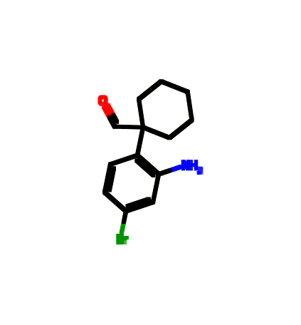 Nc1cc(Br)ccc1C1(C=O)CCCCC1